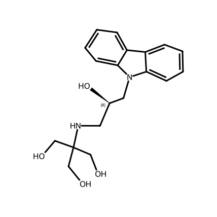 OCC(CO)(CO)NC[C@@H](O)Cn1c2ccccc2c2ccccc21